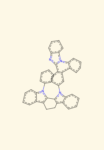 c1ccc(-n2c3c(c4ccccc42)CCc2c-3n(-c3ccc4c(c3)c3ccccc3n3c5ccccc5nc43)c3ccccc23)cc1